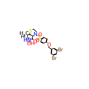 CC1(C)SCCN(S(=O)(=O)c2ccc(OCc3cc(Br)cc(Br)c3)cc2)C1C(=O)NO